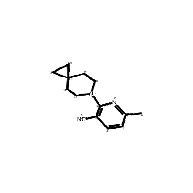 Cc1ccc(C#N)c(N2CCC3(CC2)CC3)n1